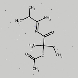 CCC(C)(OC(C)=O)C(=O)/N=C(\N)C(C)C